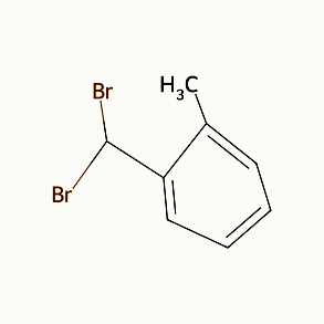 Cc1ccccc1C(Br)Br